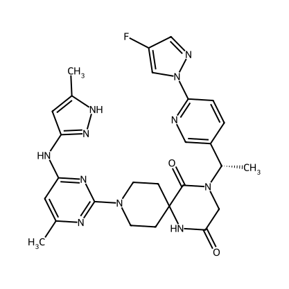 Cc1cc(Nc2cc(C)[nH]n2)nc(N2CCC3(CC2)NC(=O)CN([C@@H](C)c2ccc(-n4cc(F)cn4)nc2)C3=O)n1